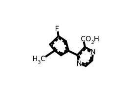 Cc1cc(F)cc(-c2nccnc2C(=O)O)c1